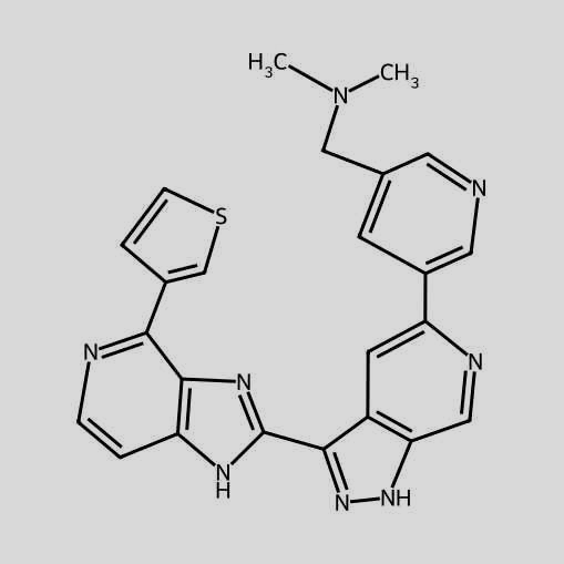 CN(C)Cc1cncc(-c2cc3c(-c4nc5c(-c6ccsc6)nccc5[nH]4)n[nH]c3cn2)c1